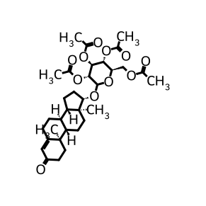 CC(=O)OC[C@H]1OC(O[C@H]2CC[C@H]3[C@@H]4CCC5=CC(=O)CC[C@]5(C)[C@H]4CC[C@]23C)[C@H](OC(C)=O)[C@@H](OC(C)=O)[C@@H]1OC(C)=O